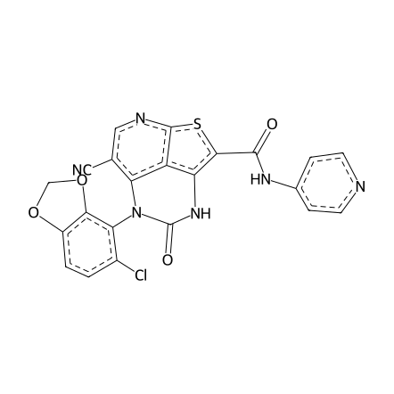 N#Cc1cnc2sc(C(=O)Nc3ccncc3)c3c2c1N(c1c(Cl)ccc2c1OCO2)C(=O)N3